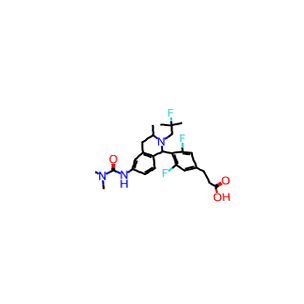 CC1Cc2cc(NC(=O)N(C)C)ccc2C(c2c(F)cc(CCC(=O)O)cc2F)N1CC(C)(C)F